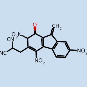 C=C1C2=C(C([N+](=O)[O-])=C(CC(C#N)C#N)C([N+](=O)[O-])C2=O)c2ccc([N+](=O)[O-])cc21